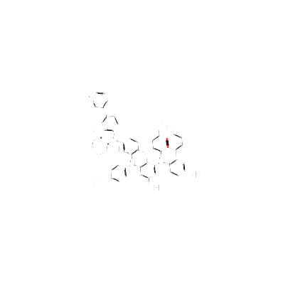 Cc1cc2c3c(c1)N(c1ccc(C(C)(C)C)cc1-c1ccccc1)c1ccc(C(C)(C)C)cc1B3c1ccc(N3c4ccc(-c5cccnc5)cc4C4(C)CCCCC34C)cc1N2c1ccc(C(C)(C)C)cc1